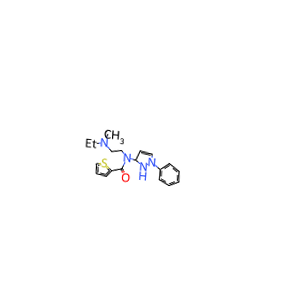 CCN(C)CCN(C(=O)c1cccs1)C1C=CN(c2ccccc2)N1